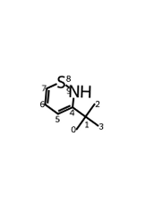 CC(C)(C)C1=CC=CSN1